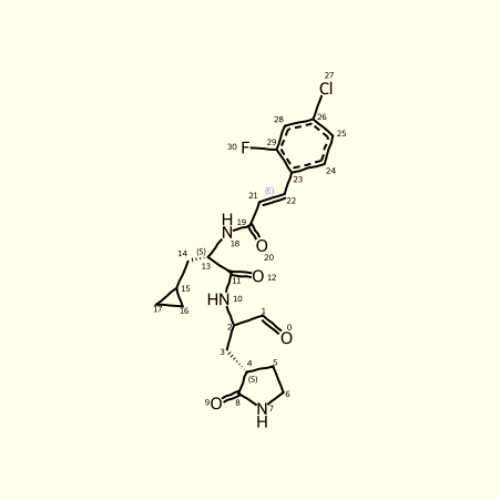 O=CC(C[C@@H]1CCNC1=O)NC(=O)[C@H](CC1CC1)NC(=O)/C=C/c1ccc(Cl)cc1F